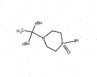 CCCCC(C)(CCCC)N1CCP(=O)(C(C)C)CC1